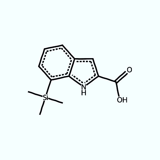 C[Si](C)(C)c1cccc2cc(C(=O)O)[nH]c12